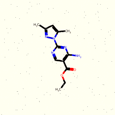 CCOC(=O)c1cnc(-n2nc(C)cc2C)nc1N